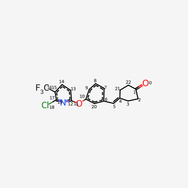 O=C1CCC(=Cc2cccc(Oc3ccc(C(F)(F)F)c(Cl)n3)c2)CC1